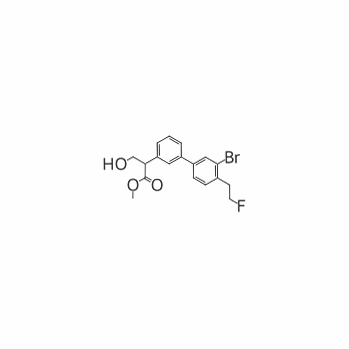 COC(=O)C(CO)c1cccc(-c2ccc(CCF)c(Br)c2)c1